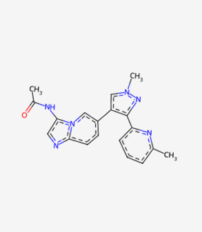 CC(=O)Nc1cnc2ccc(-c3cn(C)nc3-c3cccc(C)n3)cn12